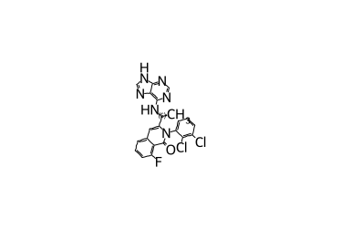 C[C@H](Nc1ncnc2[nH]cnc12)c1cc2cccc(F)c2c(=O)n1-c1cccc(Cl)c1Cl